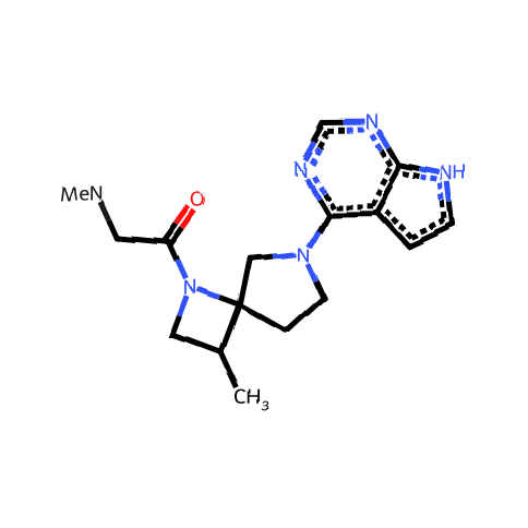 CNCC(=O)N1CC(C)C12CCN(c1ncnc3[nH]ccc13)C2